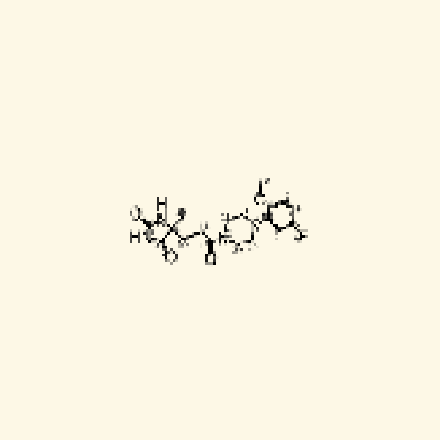 COc1ccc(F)cc1N1CCN(C(=O)CC[C@@]2(C)NC(=O)NC2=O)CC1